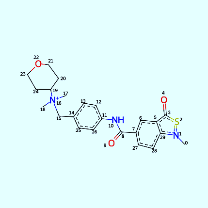 Cn1sc(=O)c2cc(C(=O)Nc3ccc(C[N+](C)(C)C4CCOCC4)cc3)ccc21